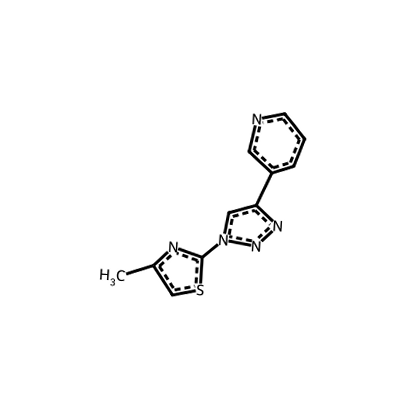 Cc1csc(-n2cc(-c3cccnc3)nn2)n1